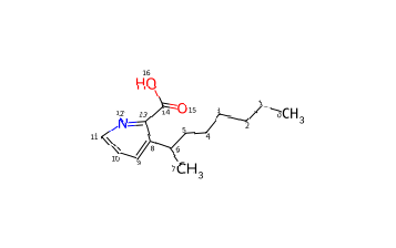 CCCCCCC(C)c1cccnc1C(=O)O